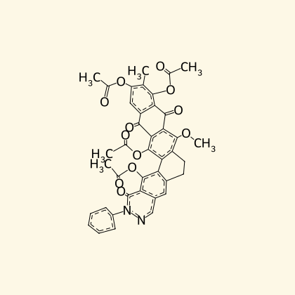 COc1c2c(c(OC(C)=O)c3c1C(=O)c1c(cc(OC(C)=O)c(C)c1OC(C)=O)C3=O)-c1c(cc3cnn(-c4ccccc4)c(=O)c3c1OC(C)=O)CC2